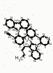 C=C/C=C\c1c(C)n(-c2ccncc2-c2cccc(-c3cccc(C#N)c3-n3c4ccccc4c4ccccc43)c2)c2ccccc12